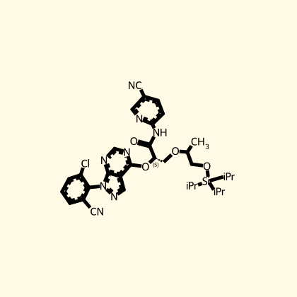 CC(CO[Si](C(C)C)(C(C)C)C(C)C)OC[C@H](Oc1ncnc2c1cnn2-c1c(Cl)cccc1C#N)C(=O)Nc1ccc(C#N)cn1